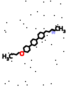 C/C=C/CCC1CCC(C2CCC(C3CCC(OCCCC)CC3)CC2)CC1